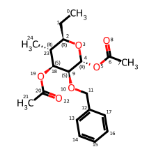 CC[C@H]1O[C@H](OC(C)=O)[C@@H](OCc2ccccc2)[C@@H](OC(C)=O)[C@@H]1C